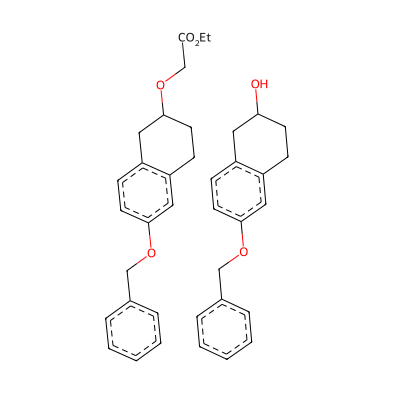 CCOC(=O)COC1CCc2cc(OCc3ccccc3)ccc2C1.OC1CCc2cc(OCc3ccccc3)ccc2C1